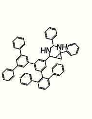 c1ccc(-c2cc(-c3ccccc3)cc(-c3cc(-c4c(-c5ccccc5)cccc4-c4ccccc4)cc(C4NC(c5ccccc5)NC5(c6ccccc6)CC45)c3)c2)cc1